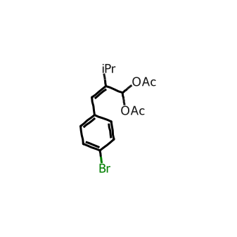 CC(=O)OC(OC(C)=O)C(=Cc1ccc(Br)cc1)C(C)C